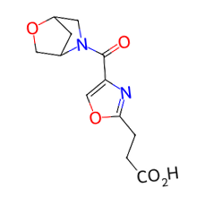 O=C(O)CCc1nc(C(=O)N2CC3CC2CO3)co1